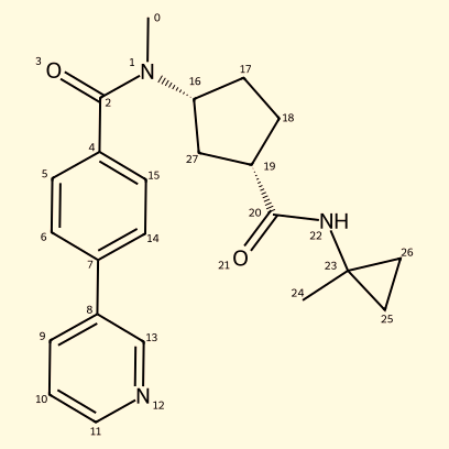 CN(C(=O)c1ccc(-c2cccnc2)cc1)[C@@H]1CC[C@H](C(=O)NC2(C)CC2)C1